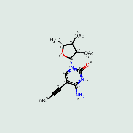 CCCCC#Cc1cn([C@@H]2O[C@H](C)C(OC(C)=O)C2OC(C)=O)c(=O)nc1N